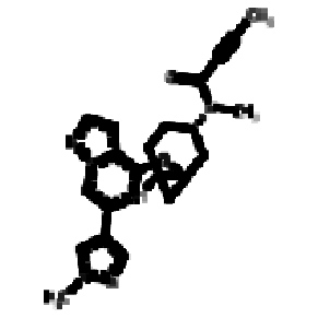 CC#CC(=O)N(C)[C@H]1CC[C@H]2C[C@@]2(Oc2nc(-c3cnn(C)c3)cn3nccc23)C1